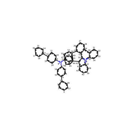 c1ccc(-c2ccc(N(c3ccc(-c4ccccc4)cc3)c3ccc(-c4cccc5c6ccccc6n6c7ccccc7c(-c7ccccc7)c6c45)cc3)cc2)cc1